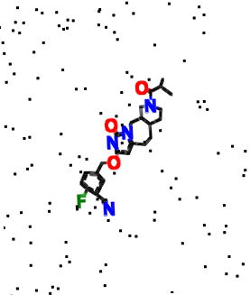 CC(C)C(=O)N1CCC2CCc3cc(OCc4ccc(F)c(C#N)c4)nc(=O)n3CC2C1